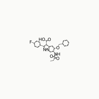 CCS(=O)(=O)Nc1cn2nc(-c3ccc(F)cc3)c(C(=O)O)c2cc1OCc1ccccc1